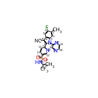 Cc1cc2c(cc1F)c(C#N)c(-c1ccc(S(=O)(=O)N[C@@H](C)C(F)(F)F)cn1)n2-c1cnccn1